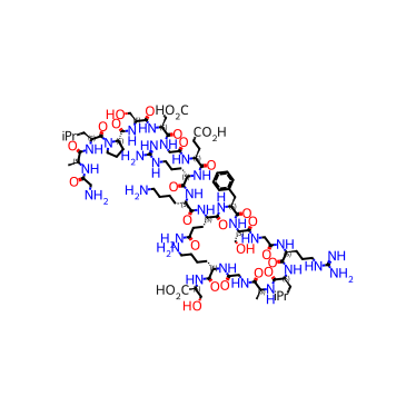 CC(C)C[C@H](NC(=O)[C@H](CCCNC(=N)N)NC(=O)CNC(=O)[C@H](CO)NC(=O)[C@H](Cc1ccccc1)NC(=O)[C@H](CCC(N)=O)NC(=O)[C@H](CCCCN)NC(=O)[C@H](CCCNC(=N)N)NC(=O)[C@H](CCC(=O)O)NC(=O)CNC(=O)[C@H](CC(=O)O)NC(=O)[C@H](CO)NC(=O)[C@@H]1CCCN1C(=O)[C@H](CC(C)C)NC(=O)[C@H](C)NC(=O)CN)C(=O)N[C@@H](C)C(=O)NCC(=O)N[C@@H](CCCCN)C(=O)N[C@@H](CO)C(=O)O